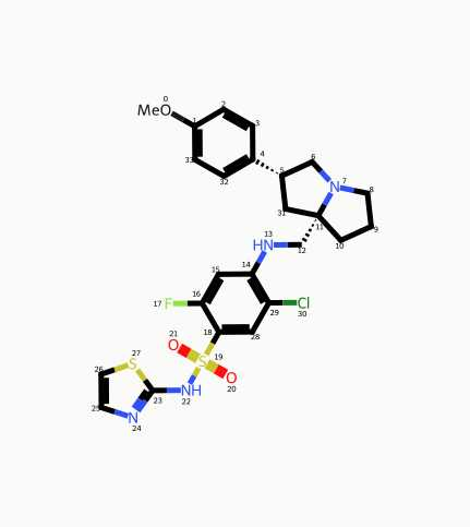 COc1ccc([C@@H]2CN3CCC[C@@]3(CNc3cc(F)c(S(=O)(=O)Nc4nccs4)cc3Cl)C2)cc1